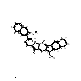 C=C(/C=C\C1=C(Cl)C(=C/C2=C(C)c3cc4ccccc4cc3C2=O)/CC1)c1cc2ccccc2cc1C=O